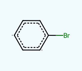 Brc1[c]c[c]cc1